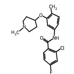 Cc1ccc(NC(=O)c2ccc(F)cc2Cl)cc1OC1CCN(C)CC1